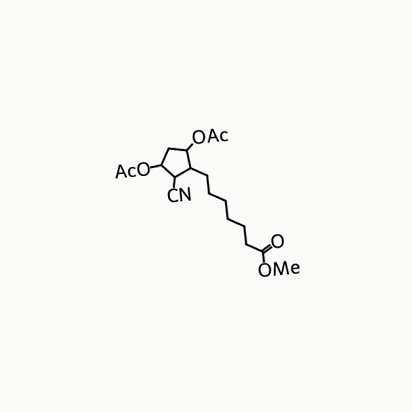 COC(=O)CCCCCCC1C(OC(C)=O)CC(OC(C)=O)C1C#N